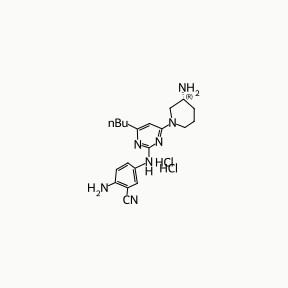 CCCCc1cc(N2CCC[C@@H](N)C2)nc(Nc2ccc(N)c(C#N)c2)n1.Cl.Cl